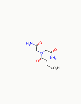 NC(=O)CN(CC(N)=O)C(=O)CCC(=O)O